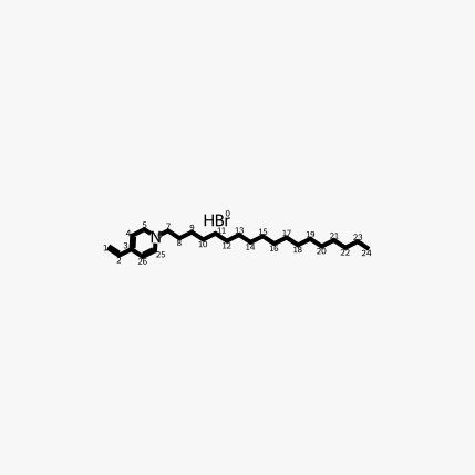 Br.C=CC1=CCN(CCCCCCCCCCCCCCCCCC)C=C1